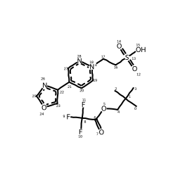 CC(C)(C)COC(=O)C(F)(F)F.O=S(=O)(O)CC[n+]1ccc(-c2cocn2)cn1